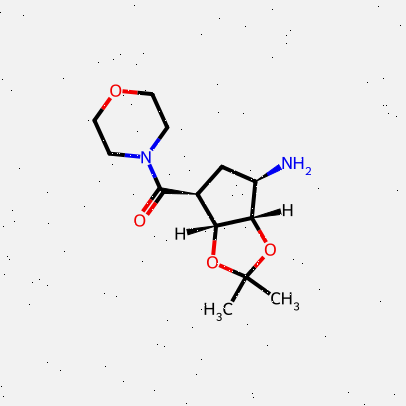 CC1(C)O[C@@H]2[C@H](O1)[C@@H](C(=O)N1CCOCC1)C[C@H]2N